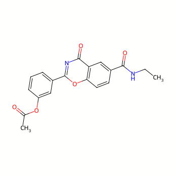 CCNC(=O)c1ccc2oc(-c3cccc(OC(C)=O)c3)nc(=O)c2c1